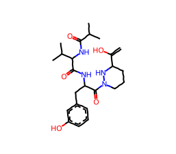 C=C(O)C1CCCN(C(=O)C(Cc2cccc(O)c2)NC(=O)C(NC(=O)C(C)C)C(C)C)N1